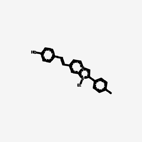 CC[n+]1c(-c2ccc(C)cc2)cn2ccc(/C=C/c3ccc(O)cc3)cc21